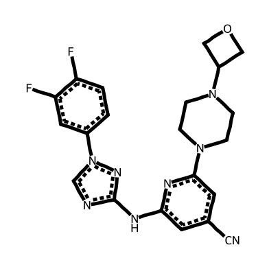 N#Cc1cc(Nc2ncn(-c3ccc(F)c(F)c3)n2)nc(N2CCN(C3COC3)CC2)c1